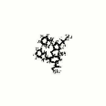 C=C(CC(C)(C)C)c1cc(O)c(Cc2c(O)cc(C(C)(C)CC(C)(C)C)cc2-n2nc3ccccc3n2)c(-n2nc3ccccc3n2)c1